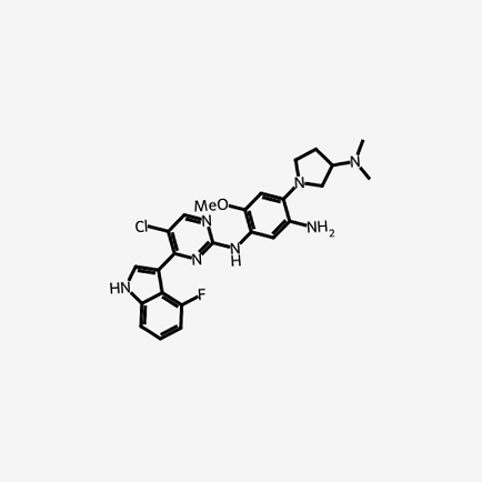 COc1cc(N2CCC(N(C)C)C2)c(N)cc1Nc1ncc(Cl)c(-c2c[nH]c3cccc(F)c23)n1